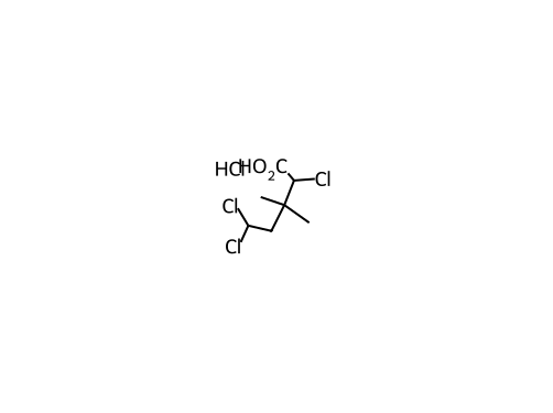 CC(C)(CC(Cl)Cl)C(Cl)C(=O)O.Cl